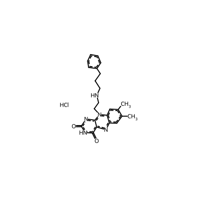 Cc1cc2nc3c(=O)[nH]c(=O)nc-3n(CCNCCCc3ccccc3)c2cc1C.Cl